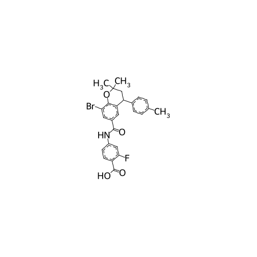 Cc1ccc(C2CC(C)(C)Oc3c(Br)cc(C(=O)Nc4ccc(C(=O)O)c(F)c4)cc32)cc1